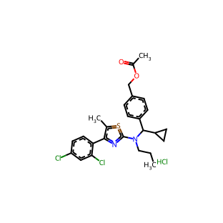 CCCN(c1nc(-c2ccc(Cl)cc2Cl)c(C)s1)C(c1ccc(COC(C)=O)cc1)C1CC1.Cl